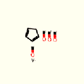 C1=CCC=C1.[C]=O.[C]=O.[C]=O.[C]=O.[V]